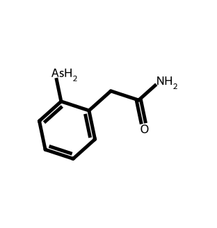 NC(=O)Cc1ccccc1[AsH2]